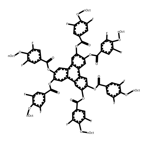 CCCCCCCCOc1c(F)cc(C(=O)Oc2cc3c4cc(OC(=O)c5cc(F)c(OCCCCCCCC)c(F)c5)c(OC(=O)c5cc(F)c(OCCCCCCCC)c(F)c5)cc4c4cc(OC(=O)c5cc(F)c(OCCCCCCCC)c(F)c5)c(OC(=O)c5cc(F)c(OCCCCCCCC)c(F)c5)cc4c3cc2OC(=O)c2cc(F)c(OCCCCCCCC)c(F)c2)cc1F